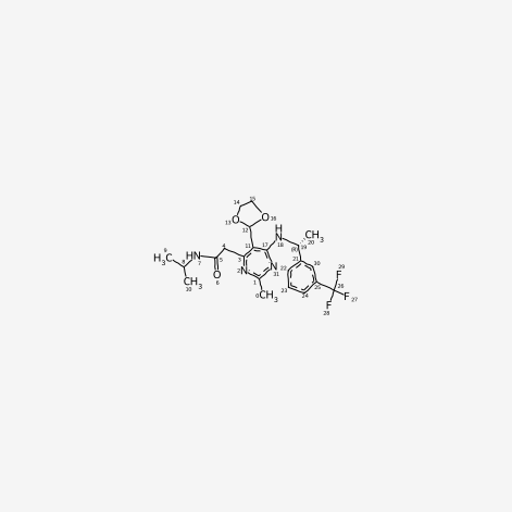 Cc1nc(CC(=O)NC(C)C)c(C2OCCO2)c(N[C@H](C)c2cccc(C(F)(F)F)c2)n1